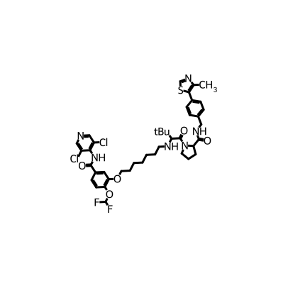 Cc1ncsc1-c1ccc(CNC(=O)C2CCCN2C(=O)C(NCCCCCCCOc2cc(C(=O)Nc3c(Cl)cncc3Cl)ccc2OC(F)F)C(C)(C)C)cc1